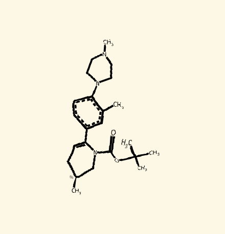 Cc1cc(C2=CC[C@H](C)CN2C(=O)OC(C)(C)C)ccc1N1CCN(C)CC1